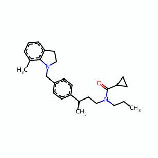 CCCN(CCC(C)c1ccc(CN2CCc3cccc(C)c32)cc1)C(=O)C1CC1